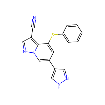 N#Cc1cnn2cc(-c3cn[nH]c3)cc(Sc3ccccc3)c12